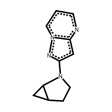 c1cnc2cc(N3CCC4CC43)nn2c1